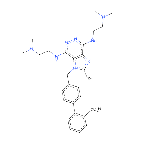 CC(C)c1nc2c(NCCN(C)C)nnc(NCCN(C)C)c2n1Cc1ccc(-c2ccccc2C(=O)O)cc1